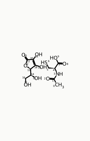 CC(=O)N[C@@H](CS)C(=O)O.O=C1O[C@H]([C@@H](O)CO)C(O)=C1O